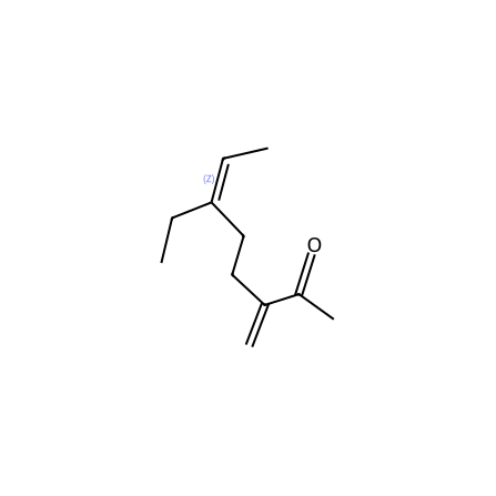 C=C(CC/C(=C\C)CC)C(C)=O